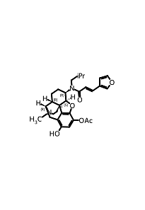 CC(=O)Oc1cc(O)c2c3c1O[C@@H]1[C@H](N(CC(C)C)C(=O)C=Cc4ccoc4)CC[C@H]4[C@@H](C2)N(C)CC[C@]314